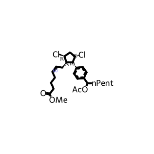 CCCCCC(OC(C)=O)c1ccc([C@@H]2[C@@H](C/C=C\CCCC(=O)OC)[C@@H](Cl)C[C@@H]2Cl)cc1